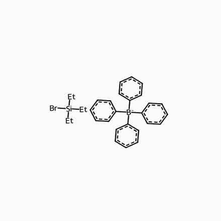 CC[Si](Br)(CC)CC.c1ccc([B-](c2ccccc2)(c2ccccc2)c2ccccc2)cc1